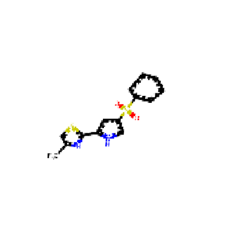 O=S(=O)(c1ccccc1)c1c[nH]c(-c2nc(C(F)(F)F)cs2)c1